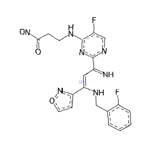 N=C(/C=C(\NCc1ccccc1F)c1ccon1)c1ncc(F)c(NCCC(=O)N=O)n1